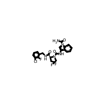 NC(=O)n1cc(NC(=O)N2CC(F)(F)C[C@H]2C(=O)NCc2cccc(Cl)c2F)c2ccccc21